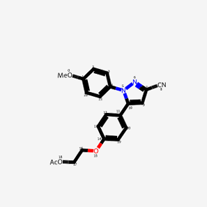 COc1ccc(-n2nc(C#N)cc2-c2ccc(OCCOC(C)=O)cc2)cc1